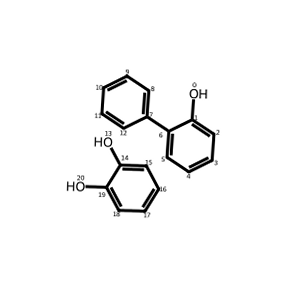 Oc1ccccc1-c1ccccc1.Oc1ccccc1O